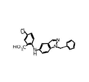 O=C(O)c1cc(Cl)ccc1Nc1ccc2c(cnn2Cc2ccccc2)c1